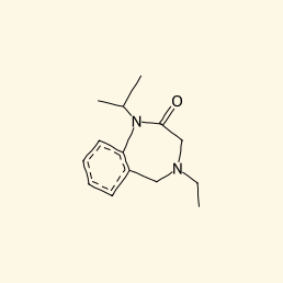 CCN1CC(=O)N(C(C)C)c2ccccc2C1